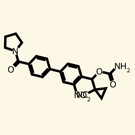 N#CC1(C(OC(N)=O)c2ccc(-c3ccc(C(=O)N4CCCC4)cc3)cc2[N+](=O)[O-])CC1